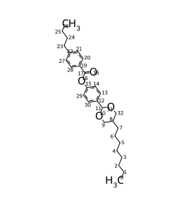 CCCCCCCCC1COC(c2ccc(OC(=O)c3ccc(CCCC)cc3)cc2)OC1